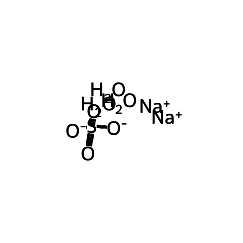 O.O.O.O=S(=O)([O-])[O-].[Na+].[Na+]